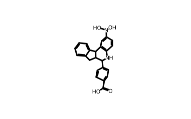 O=C(O)c1ccc(C2Nc3ccc(N(O)O)cc3C3c4ccccc4CC23)cc1